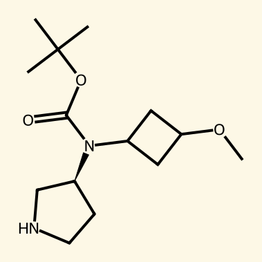 COC1CC(N(C(=O)OC(C)(C)C)[C@H]2CCNC2)C1